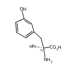 CCC[C@](N)(Cc1cccc(O)c1)C(=O)O